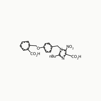 CCCCc1nc(C(=O)O)c([N+](=O)[O-])n1Cc1ccc(OCc2ccccc2C(=O)O)cc1